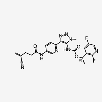 C=C(C#N)CCC(=O)Nc1ccc(-c2nnn(C)c2NC(=O)O[C@H](C)c2cc(F)cnc2F)nc1